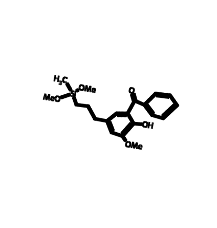 COc1cc(CCC[Si](C)(OC)OC)cc(C(=O)c2ccccc2)c1O